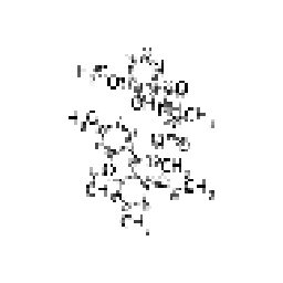 CCOc1cc(C)ccc1C(c1ccc(C)cc1OCC)[C@H](C)OC(=O)[C@H](C)NC(=O)c1nccc(OC)c1O